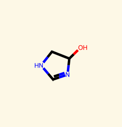 OC1CN[C]=N1